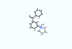 C=C(c1ccccc1)c1cccc([N+]2(C)CCCC2)c1